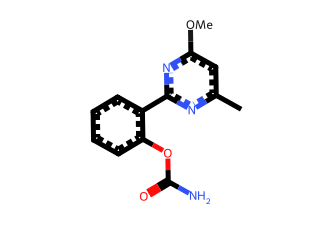 COc1cc(C)nc(-c2ccccc2OC(N)=O)n1